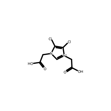 O=C(O)Cn1c[n+](CC(=O)O)c(Cl)c1Cl